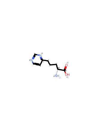 N[C@H](CCCc1ccncn1)C(=O)O